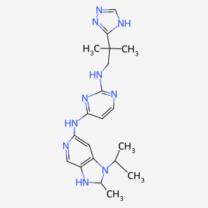 CC(C)N1c2cc(Nc3ccnc(NCC(C)(C)c4nnc[nH]4)n3)ncc2NC1C